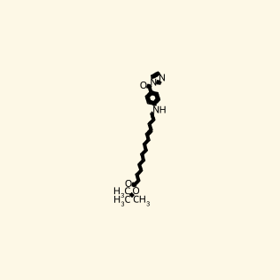 CC(C)(C)OC(=O)CCCCCCCCCC=CCCCNc1ccc(C(=O)n2ccnc2)cc1